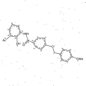 COc1ccc(COc2ccc(C(=O)Nc3cccc(C(C)=O)c3O)cc2)cc1